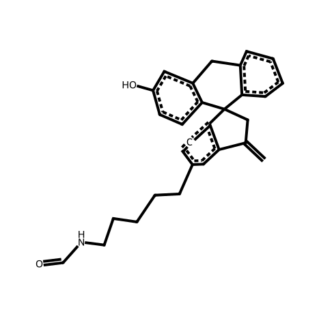 C=C1CC2(c3ccccc3Cc3cc(O)ccc32)c2ccc(CCCCCNC=O)cc21